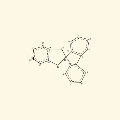 c1ccc2c(c1)-c1ccccc1C21Cc2cncnc2C1